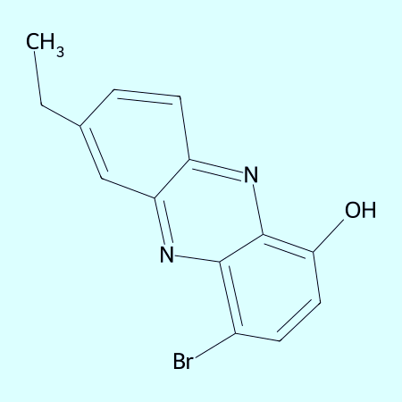 CCc1ccc2nc3c(O)ccc(Br)c3nc2c1